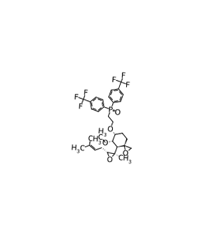 CO[C@@H]1[C@H](OCCP(=O)(c2ccc(C(F)(F)F)cc2)c2ccc(C(F)(F)F)cc2)CC[C@]2(CO2)[C@H]1[C@@]1(C)O[C@@H]1CC=C(C)C